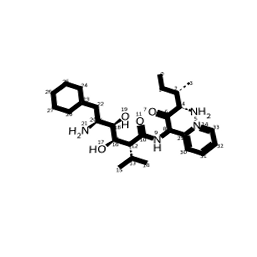 CC[C@H](C)[C@H](N)C(=O)C(NC(=O)[C@H](C(C)C)[C@@H](O)[C@H](O)[C@@H](N)CC1CCCCC1)c1ccccn1